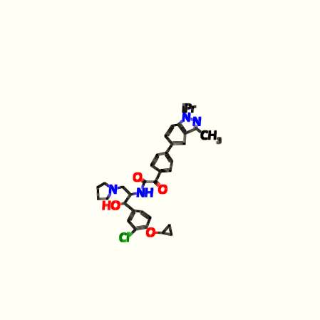 Cc1nn(C(C)C)c2ccc(-c3ccc(C(=O)C(=O)NC(CN4CCCC4)C(O)c4ccc(OC5CC5)c(Cl)c4)cc3)cc12